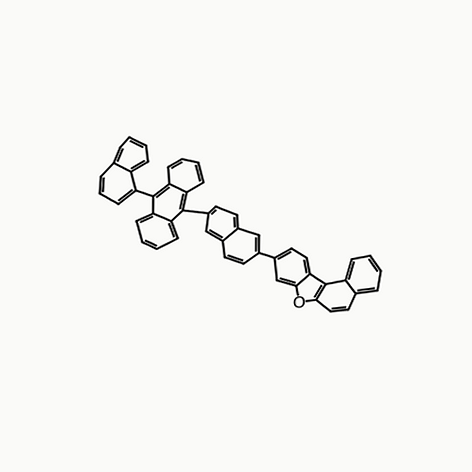 c1ccc2c(-c3c4ccccc4c(-c4ccc5cc(-c6ccc7c(c6)oc6ccc8ccccc8c67)ccc5c4)c4ccccc34)cccc2c1